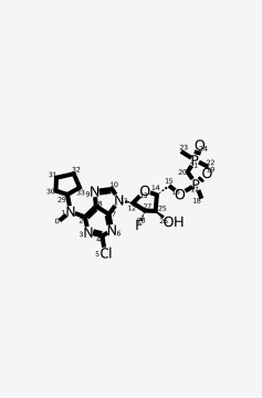 CN(c1nc(Cl)nc2c1ncn2[C@@H]1O[C@H](COP(C)(=O)CP(C)(C)=O)[C@@H](O)[C@@H]1F)C1CCCC1